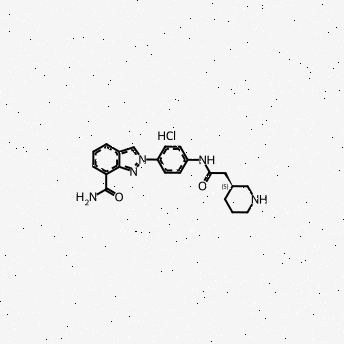 Cl.NC(=O)c1cccc2cn(-c3ccc(NC(=O)C[C@@H]4CCCNC4)cc3)nc12